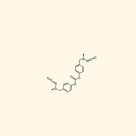 C[C@H](Cc1ccc(OC(=O)Oc2ccc(C[C@@H](C)N=C=O)cc2)cc1)N=C=O